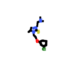 CC(C)N(CCOc1cccc(Cl)c1)C(=S)NCCN(C)C